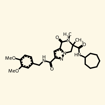 COc1ccc(CNC(=O)c2cc3n(n2)CC(C)(C(=O)NC2CCCCCC2)N(C)C3=O)cc1OC